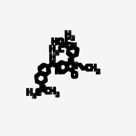 C=CCn1c(=O)c2cnc(Nc3ccc4c(c3)CC(N(C)C)CC4)cc2n1-c1ccnc(C(C)(C)O)c1